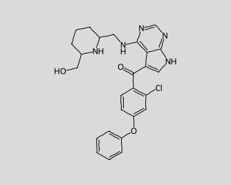 O=C(c1ccc(Oc2ccccc2)cc1Cl)c1c[nH]c2ncnc(NCC3CCCC(CO)N3)c12